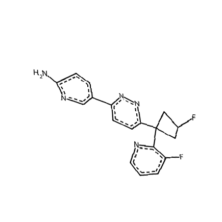 Nc1ccc(-c2ccc(C3(c4ncccc4F)CC(F)C3)nn2)cn1